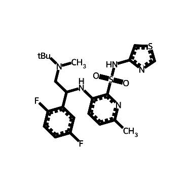 Cc1ccc(NC(CN(C)C(C)(C)C)c2cc(F)ccc2F)c(S(=O)(=O)Nc2cscn2)n1